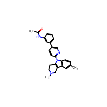 CC(=O)Nc1cccc(-c2ccc(-n3c4c(c5cc(C)ccc53)CN(C)CC4)nc2)c1